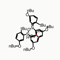 CCCCOc1ccc(C(C)(C)C)c([SiH](O[SiH](c2cc(OCCCC)ccc2C(C)(C)C)c2cc(OCCCC)ccc2C(C)(C)C)c2cc(OCCCC)ccc2C(C)(C)C)c1